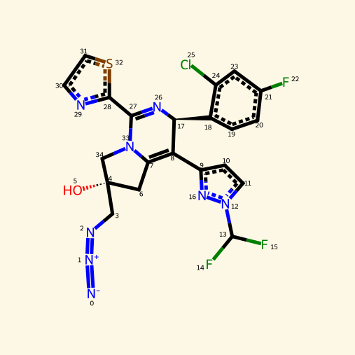 [N-]=[N+]=NC[C@]1(O)CC2=C(c3ccn(C(F)F)n3)[C@H](c3ccc(F)cc3Cl)N=C(c3nccs3)N2C1